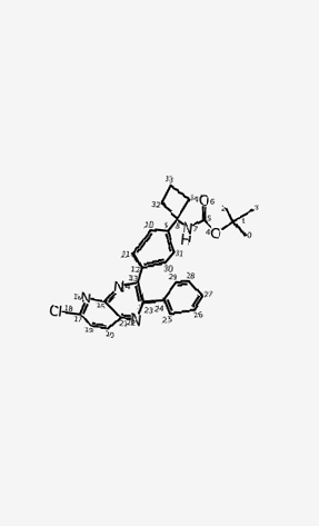 CC(C)(C)OC(=O)NC1(c2ccc(-c3nc4nc(Cl)ccc4nc3-c3ccccc3)cc2)CCC1